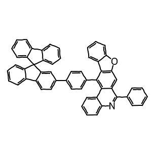 c1ccc(-c2nc3ccccc3c3c(-c4ccc(-c5ccc6c(c5)C5(c7ccccc7-c7ccccc75)c5ccccc5-6)cc4)c4c(cc23)oc2ccccc24)cc1